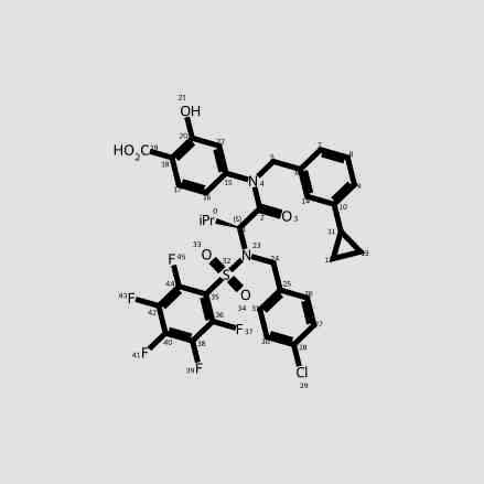 CC(C)[C@@H](C(=O)N(Cc1cccc(C2CC2)c1)c1ccc(C(=O)O)c(O)c1)N(Cc1ccc(Cl)cc1)S(=O)(=O)c1c(F)c(F)c(F)c(F)c1F